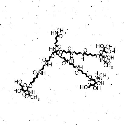 CNC(=O)CCCC(=O)NC(COCCC(=O)NCCCNC(=O)CCCCO[C@H](OC(CO)[C@@H](C)O)[C@H](CO)NC(C)=O)(COCCC(=O)NCCCNC(=O)CCCCO[C@@H]1OC(CO)[C@H](O)C(O)[C@@H]1NC(C)=O)COCCC(=O)NCCCNC(=O)CCCCO[C@@H]1OC(CO)[C@H](O)C(O)[C@@H]1NC(C)=O